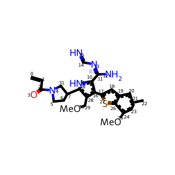 C=CC(=O)N1CCC(c2[nH]c(/C(N)=N\C=N)c(-c3cc4cc(C)cc(OC)c4s3)c2COC)C1